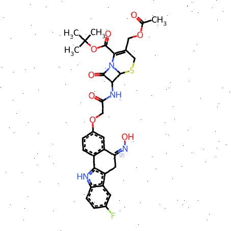 CC(=O)OCC1=C(C(=O)OC(C)(C)C)N2C(=O)C(NC(=O)COc3ccc4c(c3)/C(=N\O)Cc3c-4[nH]c4ccc(F)cc34)C2SC1